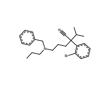 CCCN(CCCC(C#N)(c1ccccc1Br)C(C)C)Cc1ccccc1